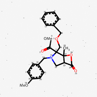 COC(=O)C1(COCc2ccccc2)N(Cc2ccc(OC)cc2)CC2C(=O)OC21C